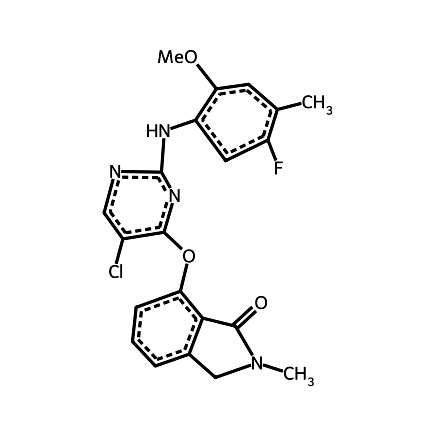 COc1cc(C)c(F)cc1Nc1ncc(Cl)c(Oc2cccc3c2C(=O)N(C)C3)n1